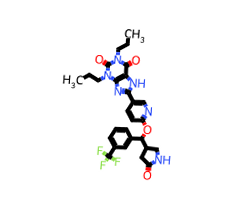 CCCn1c(=O)c2[nH]c(-c3ccc(OC(c4cccc(C(F)(F)F)c4)C4CNC(=O)C4)nc3)nc2n(CCC)c1=O